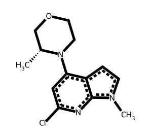 C[C@@H]1COCCN1c1cc(Cl)nc2c1ccn2C